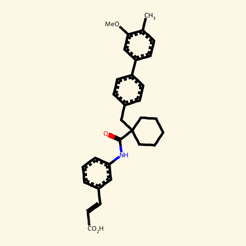 COc1cc(-c2ccc(CC3(C(=O)Nc4cccc(/C=C/C(=O)O)c4)CCCCC3)cc2)ccc1C